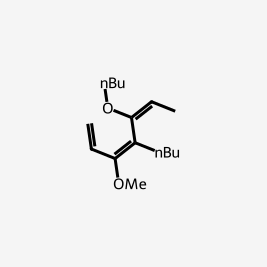 C=C/C(OC)=C(CCCC)\C(=C/C)OCCCC